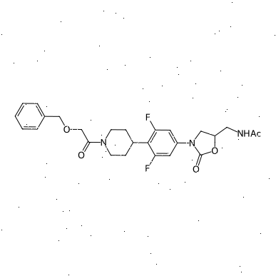 CC(=O)NCC1CN(c2cc(F)c(C3CCN(C(=O)COCc4ccccc4)CC3)c(F)c2)C(=O)O1